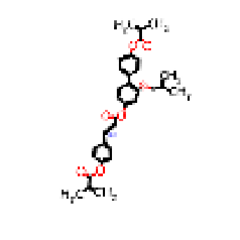 C=C(C)COc1cc(OC(=O)/C=C/c2ccc(OC(=O)C(=C)C)cc2)ccc1-c1ccc(OC(=O)C(=C)C)cc1